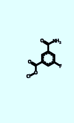 NC(=O)c1cc(F)cc(C(=O)OCl)c1